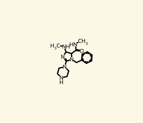 CNC(=O)C1C(NC)N=C(N2CCNCC2)N1Cc1ccccc1